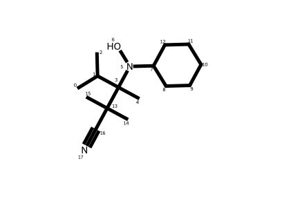 CC(C)C(C)(N(O)C1CCCCC1)C(C)(C)C#N